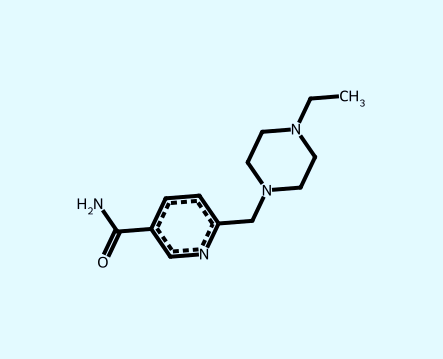 CCN1CCN(Cc2ccc(C(N)=O)cn2)CC1